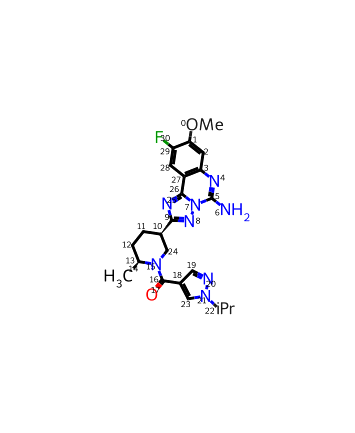 COc1cc2nc(N)n3nc([C@@H]4CC[C@H](C)N(C(=O)c5cnn(C(C)C)c5)C4)nc3c2cc1F